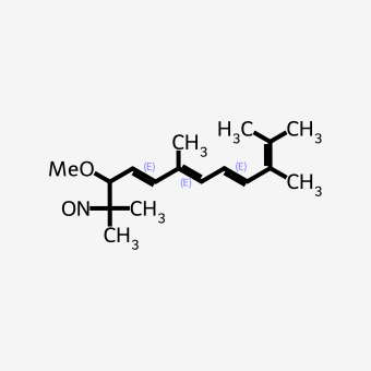 COC(/C=C/C(C)=C/C=C/C(C)=C(C)C)C(C)(C)N=O